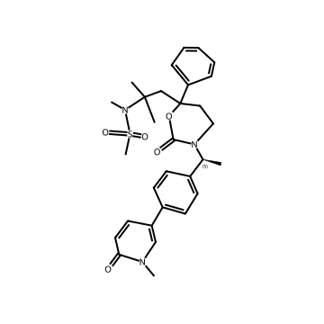 C[C@@H](c1ccc(-c2ccc(=O)n(C)c2)cc1)N1CCC(CC(C)(C)N(C)S(C)(=O)=O)(c2ccccc2)OC1=O